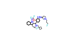 C[C@@H]1Cc2c([nH]c3ccccc23)[C@@H](c2ccc(N[C@H]3CCN(CCCF)C3)cc2OC(F)F)N1CC1(F)CCC1